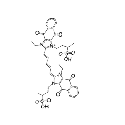 CCN1C(=CC=CC=Cc2n(CC)c3c([n+]2CCC(C)S(=O)(=O)O)C(=O)c2ccccc2C3=O)N(CCC(C)S(=O)(=O)O)C2=C1C(=O)c1ccccc1C2=O